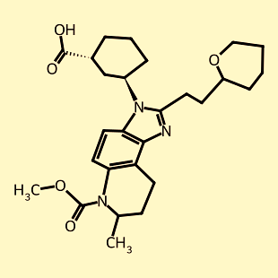 COC(=O)N1c2ccc3c(nc(CCC4CCCCO4)n3[C@@H]3CCC[C@@H](C(=O)O)C3)c2CCC1C